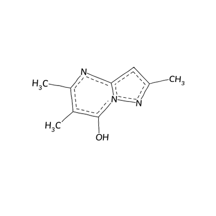 Cc1cc2nc(C)c(C)c(O)n2n1